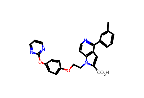 Cc1cccc(-c2nccc3c2cc(C(=O)O)n3CCOc2ccc(Oc3ncccn3)cc2)c1